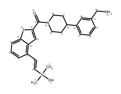 C[Si](C)(O)/C=C/c1cccc2sc(C(=O)N3CCC(c4cccc(CN)c4)CC3)cc12